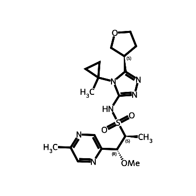 CO[C@H](c1cnc(C)cn1)[C@H](C)S(=O)(=O)Nc1nnc([C@@H]2CCOC2)n1C1(C)CC1